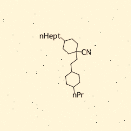 CCCCCCCC1CCC(C#N)(CCC2CCC(CCC)CC2)CC1